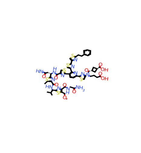 CNC(=O)C[C@H](NC(=O)c1csc(-c2ccc(-c3nc(N(CCCC(=O)O)C(=O)[C@H]4C[C@H](C(=O)O)C4)cs3)nc2-c2csc(-c3csc(CCc4ccccc4)n3)n2)n1)c1nc(C(=O)NC(c2nc(C(=O)NCC(N)=O)c(COC)s2)C(C)C)c(C)s1